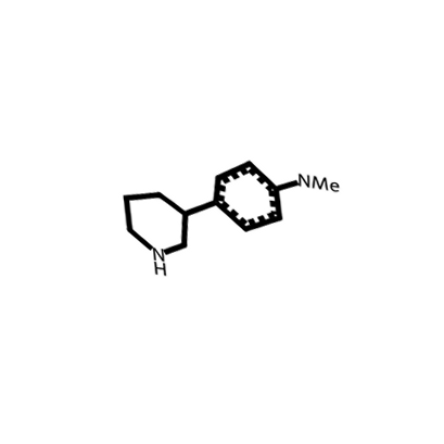 CNc1ccc(C2CCCNC2)cc1